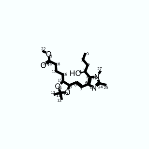 CCC[C@H](O)c1c(/C=C/C2OC(C)(C)OC2CCCC(=O)OC)nc(C)n1C